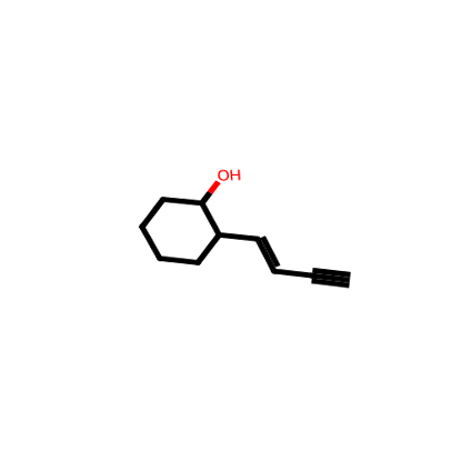 C#CC=CC1CCCCC1O